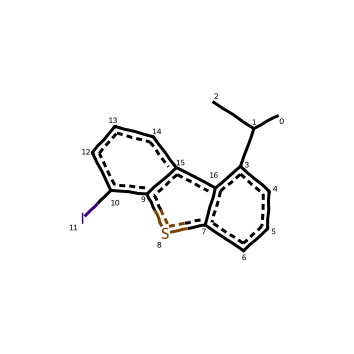 CC(C)c1cccc2sc3c(I)cccc3c12